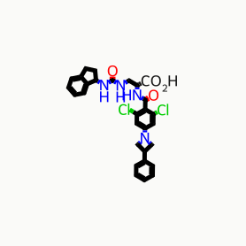 O=C(NCC(NC(=O)c1c(Cl)cc(N2CC(c3ccccc3)C2)cc1Cl)C(=O)O)NC1CCc2ccccc21